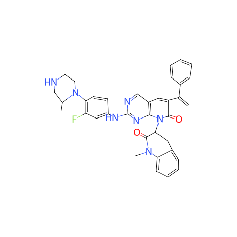 C=C(c1ccccc1)c1cc2cnc(Nc3ccc(N4CCNCC4C)c(F)c3)nc2n(C2Cc3ccccc3N(C)C2=O)c1=O